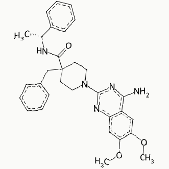 COc1cc2nc(N3CCC(Cc4ccccc4)(C(=O)N[C@H](C)c4ccccc4)CC3)nc(N)c2cc1OC